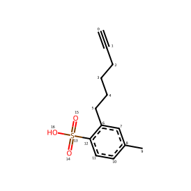 C#CCCCCc1cc(C)ccc1S(=O)(=O)O